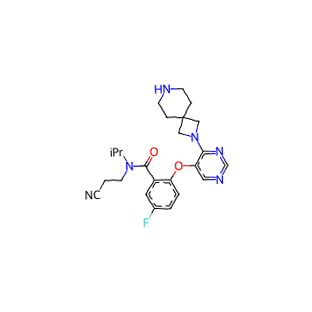 CC(C)N(CCC#N)C(=O)c1cc(F)ccc1Oc1cncnc1N1CC2(CCNCC2)C1